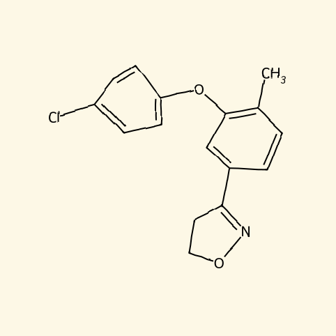 Cc1ccc(C2=NOCC2)cc1Oc1ccc(Cl)cc1